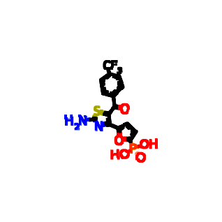 Nc1nc(-c2ccc(P(=O)(O)O)o2)c(C(=O)c2ccc(C(F)(F)F)cc2)s1